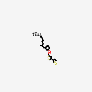 CC(=Cc1cccc(OCc2cc(-c3ccsc3)cs2)c1)CC=CC#CC(C)(C)C